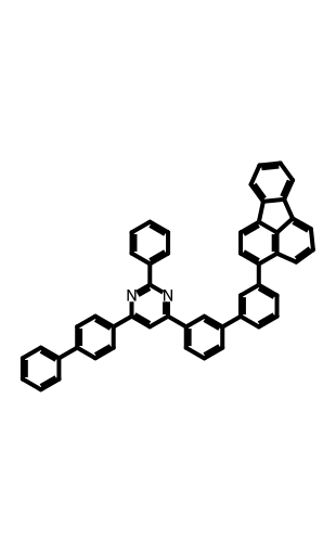 c1ccc(-c2ccc(-c3cc(-c4cccc(-c5cccc(-c6ccc7c8c(cccc68)-c6ccccc6-7)c5)c4)nc(-c4ccccc4)n3)cc2)cc1